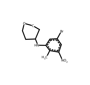 Cc1c(NC2CCOCC2)cc(Br)cc1[N+](=O)[O-]